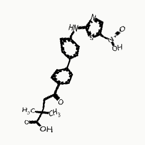 CC(C)(CC(=O)c1ccc(-c2ccc(Nc3ncc([N+](=O)O)s3)cc2)cc1)C(=O)O